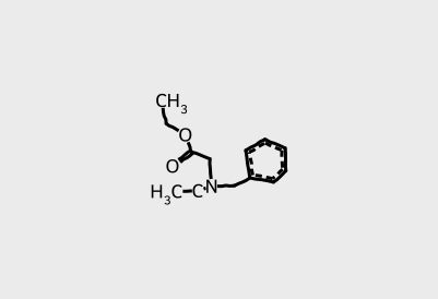 CCOC(=O)CN(CC)Cc1ccccc1